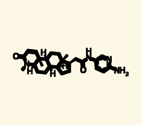 CN1C(=O)C=C[C@]2(C)[C@H]3CC[C@]4(C)[C@@H](CC(=O)Nc5ccc(N)nc5)CC[C@H]4[C@@H]3CC[C@@H]12